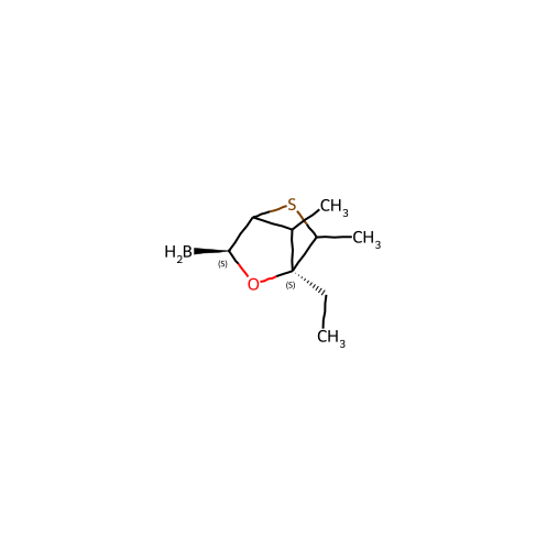 B[C@@H]1O[C@]2(CC)C(C)SC1C2C